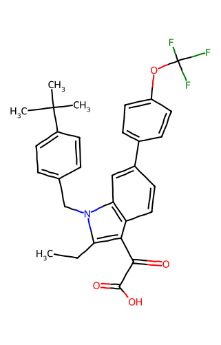 CCc1c(C(=O)C(=O)O)c2ccc(-c3ccc(OC(F)(F)F)cc3)cc2n1Cc1ccc(C(C)(C)C)cc1